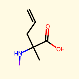 C=CCC(C)(NI)C(=O)O